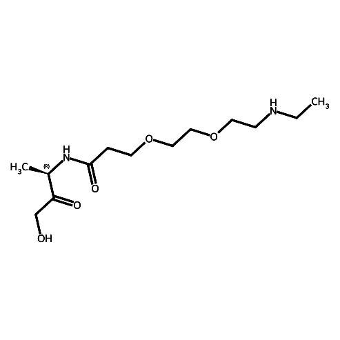 CCNCCOCCOCCC(=O)N[C@H](C)C(=O)CO